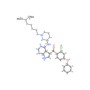 COC(CCCCCN1CCC[C@@H](Nc2ncnc3[nH]cc(C(=O)c4ccc(Oc5ccccc5)cc4Cl)c23)C1)OC